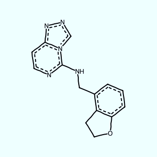 c1cc(CNc2nccc3nncn23)c2c(c1)OCC2